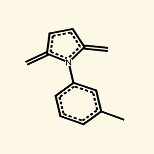 C=c1ccc(=C)n1-c1cccc(C)c1